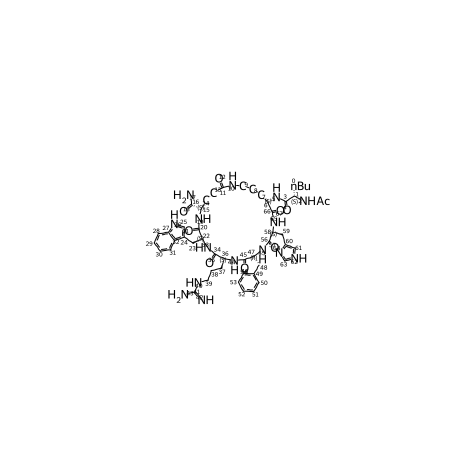 CCCC[C@H](NC(C)=O)C(=O)N[C@H]1CCCNC(=O)CC[C@@H](C(N)=O)NC(=O)[C@H](Cc2c[nH]c3ccccc23)NC(=O)[C@H](CCCNC(=N)N)NC(=O)[C@@H](Cc2ccccc2)NC(=O)[C@H](Cc2c[nH]cn2)NC1=O